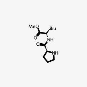 CC[C@H](C)[C@H](NC(=O)[C@@H]1CCCN1)C(=O)OC